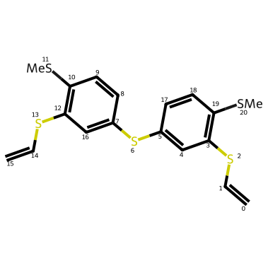 C=CSc1cc(Sc2ccc(SC)c(SC=C)c2)ccc1SC